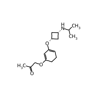 CC(=O)COC1=CC(O[C@H]2C[C@@H](NC(C)C)C2)=CCC1